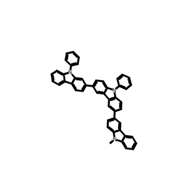 Cn1c2ccccc2c2cc(-c3ccc4c(c3)c3cc(-c5ccc6c7ccccc7n(-c7ccccc7)c6c5)ccc3n4-c3ccccc3)ccc21